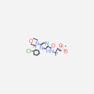 C[C@H](/C=C/S(C)(=O)=O)NC(=O)c1cnc(N2CCOC[C@H]2c2ccccc2Cl)cn1